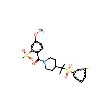 CC(C)(C1CCN(C(=O)c2ccc(OC(F)(F)F)cc2S(C)(=O)=O)CC1)S(=O)(=O)c1cccc(F)c1